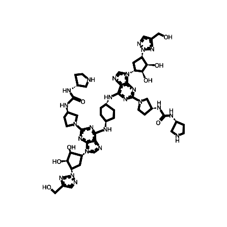 O=C(N[C@@H]1CCNC1)N[C@@H]1CCN(c2nc(N[C@H]3CC[C@H](Nc4nc(N5CC[C@@H](NC(=O)N[C@@H]6CCNC6)C5)nc5c4ncn5[C@@H]4C[C@H](n5ncc(CO)n5)[C@@H](O)[C@H]4O)CC3)c3ncn([C@@H]4C[C@H](n5ncc(CO)n5)[C@@H](O)[C@H]4O)c3n2)C1